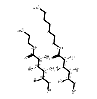 CCCCCCCCCCCCCCCCNC(=O)[C@H](O)[C@@H](O)[C@H](O)[C@H](O)CO.CCCCCCCCCCCCNC(=O)[C@H](O)[C@@H](O)[C@H](O)[C@H](O)CO